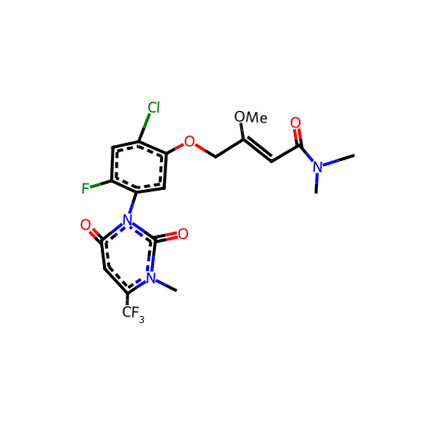 CO/C(=C\C(=O)N(C)C)COc1cc(-n2c(=O)cc(C(F)(F)F)n(C)c2=O)c(F)cc1Cl